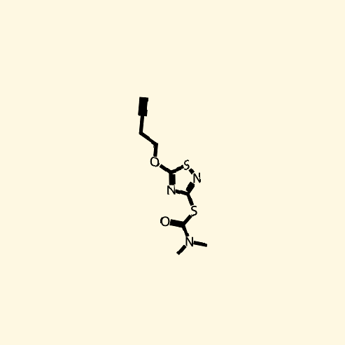 C#CCCOc1nc(SC(=O)N(C)C)ns1